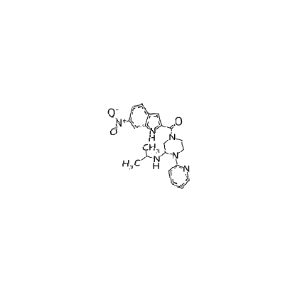 CC(C)NC1CN(C(=O)c2cc3ccc([N+](=O)[O-])cc3[nH]2)CCN1c1ccccn1